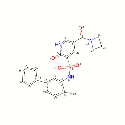 O=C(c1c[nH]c(=O)c(S(=O)(=O)Nc2cc(-c3ccccc3)ccc2F)c1)N1CCC1